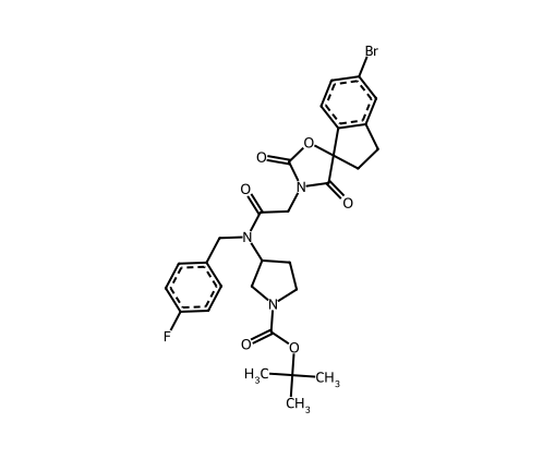 CC(C)(C)OC(=O)N1CCC(N(Cc2ccc(F)cc2)C(=O)CN2C(=O)OC3(CCc4cc(Br)ccc43)C2=O)C1